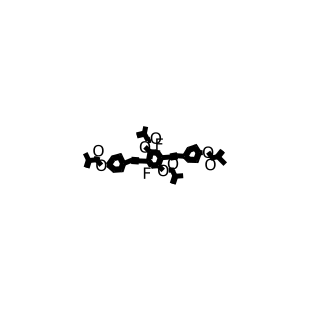 C=C(C)C(=O)Oc1ccc(C#Cc2c(F)c(OC(=O)C(=C)C)c(C#Cc3ccc(OC(=O)C(=C)C)cc3)c(F)c2OC(=O)C(=C)C)cc1